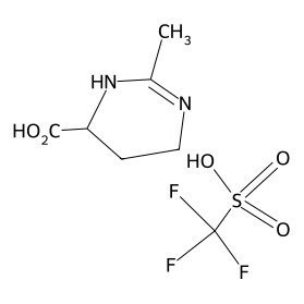 CC1=NCCC(C(=O)O)N1.O=S(=O)(O)C(F)(F)F